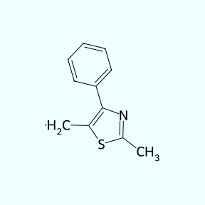 [CH2]c1sc(C)nc1-c1ccccc1